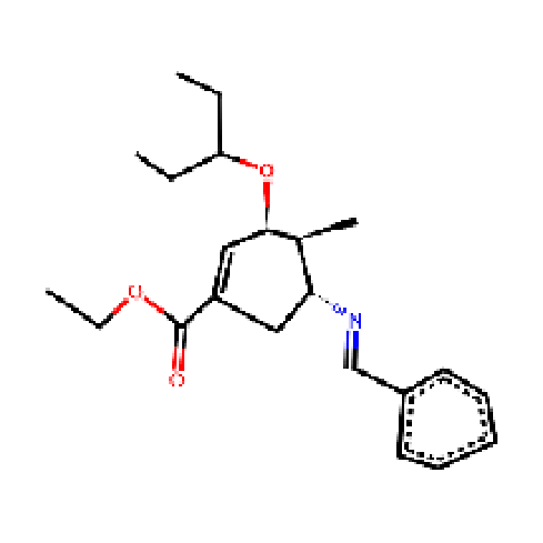 CCOC(=O)C1=C[C@@H](OC(CC)CC)[C@@H](C)[C@H](N=Cc2ccccc2)C1